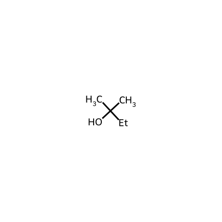 [CH2]CC(C)(C)O